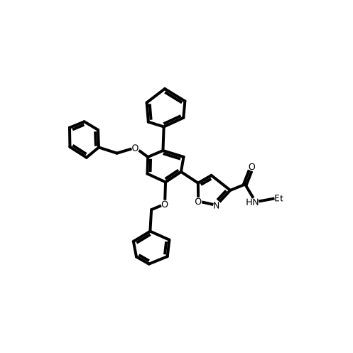 CCNC(=O)c1cc(-c2cc(-c3ccccc3)c(OCc3ccccc3)cc2OCc2ccccc2)on1